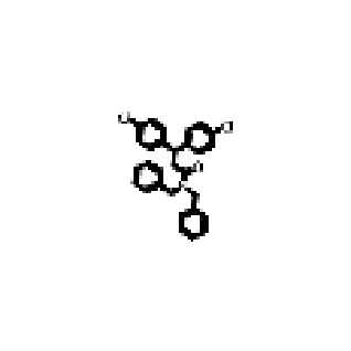 O=C(CC(c1ccc(Cl)cc1)c1ccc(Cl)cc1)N(Cc1ccccc1)Cc1ccccc1